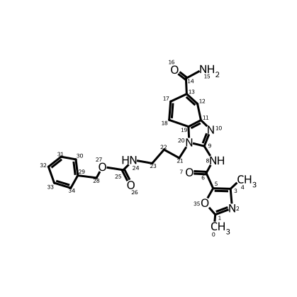 Cc1nc(C)c(C(=O)Nc2nc3cc(C(N)=O)ccc3n2CCCNC(=O)OCc2ccccc2)o1